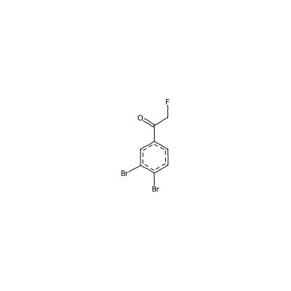 O=C(CF)c1ccc(Br)c(Br)c1